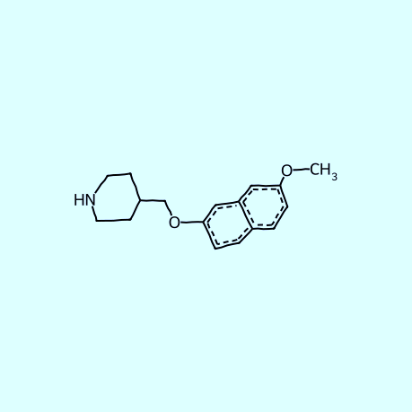 COc1ccc2ccc(OCC3CCNCC3)cc2c1